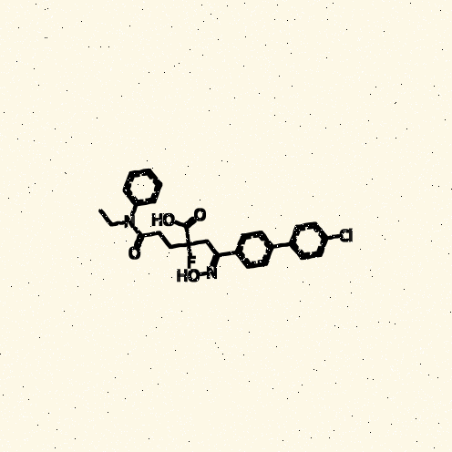 CCN(C(=O)CCC(F)(C/C(=N\O)c1ccc(-c2ccc(Cl)cc2)cc1)C(=O)O)c1ccccc1